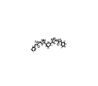 O=C(Cc1ccccc1)Nc1nnc([C@@H]2CCC[C@@H](c3nnc(NC(=O)Cc4ccccc4)s3)C2)s1